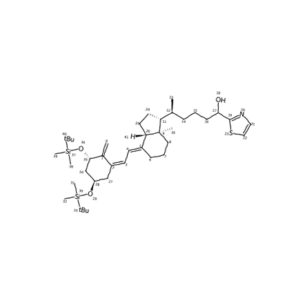 C=C1/C(=C\C=C2/CCC[C@]3(C)[C@@H]([C@@H](C)CCCC(O)c4nccs4)CC[C@@H]23)C[C@@H](O[Si](C)(C)C(C)(C)C)C[C@@H]1O[Si](C)(C)C(C)(C)C